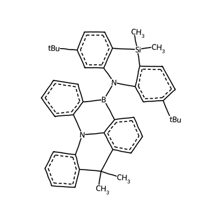 CC(C)(C)c1ccc2c(c1)N(B1c3ccccc3N3c4ccccc4C(C)(C)c4cccc1c43)c1cc(C(C)(C)C)ccc1[Si]2(C)C